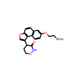 CC(=O)NCCOc1ccc2c(ccc3occ(C4CCONC4=O)c32)c1